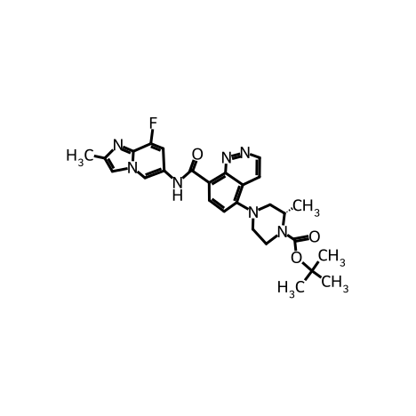 Cc1cn2cc(NC(=O)c3ccc(N4CCN(C(=O)OC(C)(C)C)[C@@H](C)C4)c4ccnnc34)cc(F)c2n1